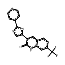 O=c1[nH]c2cc(C(F)(F)F)ccc2cc1-c1csc(-c2ccncc2)n1